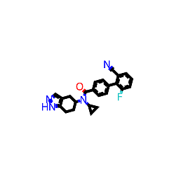 N#Cc1cccc(F)c1-c1ccc(C(=O)N(C2CC2)C2CCc3[nH]ncc3C2)cc1